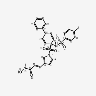 Cc1ccc(S(=O)(=O)NC2(S(=O)(=O)n3ccc(/C=C/C(=O)NO)c3)C=CC(c3ccccc3)C=C2)cc1